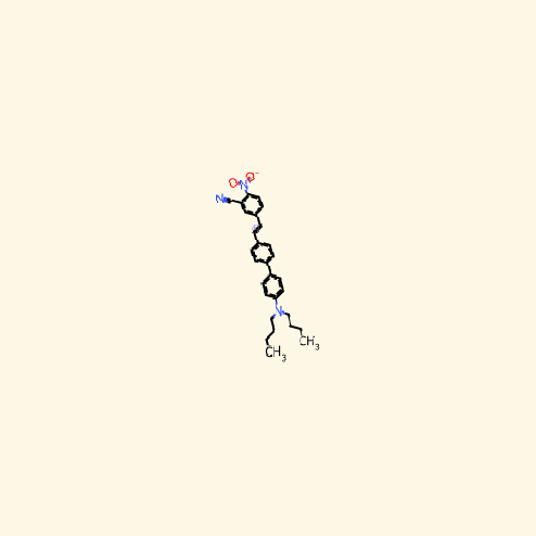 CCCCN(CCCC)c1ccc(-c2ccc(/C=C/c3ccc([N+](=O)[O-])c(C#N)c3)cc2)cc1